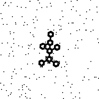 C1=CB2c3cc(-c4ccccc4)ccc3-c3c(-c4ccccc4)cc(-c4nc(-c5cccnc5)nc(-c5cccnc5)n4)cc3N2C=C1